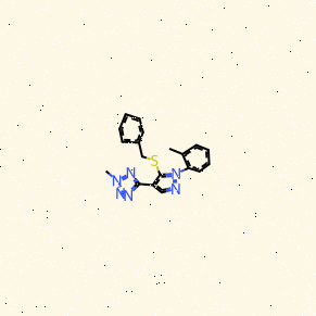 Cc1ccccc1-n1ncc(-c2nnn(C)n2)c1SCc1ccccc1